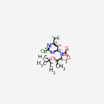 C[C@@H](OC(C)(C)C)[C@H]1COC(=O)N1c1cc(CF)nc(Cl)n1